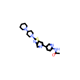 CC(=O)Nc1ccc(-c2cc3sc(N4CCC(N5CCCCC5)CC4)nc3cn2)cn1